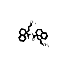 CCCCC1(C(=O)OC(=O)C2(CCCC)CCCc3ccccc32)CCCc2ccccc21